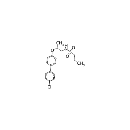 CCCS(=O)(=O)NCC(C)Oc1ccc(-c2ccc(Cl)cc2)cc1